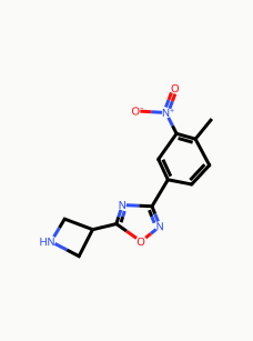 Cc1ccc(-c2noc(C3CNC3)n2)cc1[N+](=O)[O-]